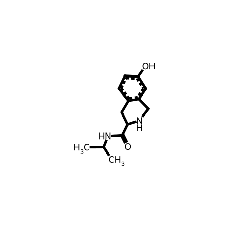 CC(C)NC(=O)C1Cc2ccc(O)cc2CN1